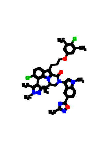 Cc1noc(-c2ccc3c(c2)c(N2CC(C)n4c(c(CCCOc5cc(C)c(Cl)c(C)c5)c5ccc(Cl)c(-c6c(C)nn(C)c6C)c54)C2=O)cn3C)n1